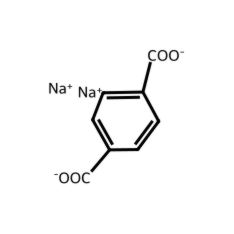 O=C([O-])c1ccc(C(=O)[O-])cc1.[Na+].[Na+]